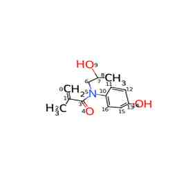 C=C(C)C(=O)N(CC(C)O)c1ccc(O)cc1